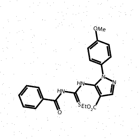 CCOC(=O)c1cnn(-c2ccc(OC)cc2)c1NC(=S)NC(=O)c1ccccc1